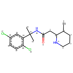 CCC1CCCNC1CC(=O)NC(C)(C)c1cc(Cl)ccc1Cl